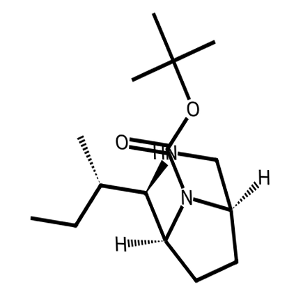 CC[C@H](C)[C@H]1NC[C@H]2CC[C@@H]1N2C(=O)OC(C)(C)C